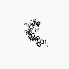 Cc1ccccc1C(=O)Nc1cccc2c(S(=O)(=O)N[C@H]3CCN(C(=O)[C@@H]4CCCN4)[C@@H](C)C3)cccc12